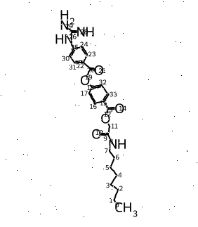 CCCCCCCCNC(=O)COC(=O)c1ccc(OC(=O)c2ccc(NC(=N)N)cc2)cc1